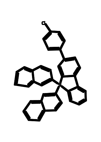 Clc1ccc(-c2ccc3c(c2)[Si](c2ccc4ccccc4c2)(c2ccc4ccccc4c2)c2ccccc2-3)cc1